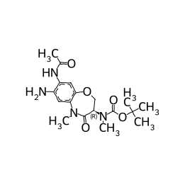 CC(=O)Nc1cc2c(cc1N)N(C)C(=O)[C@H](N(C)C(=O)OC(C)(C)C)CO2